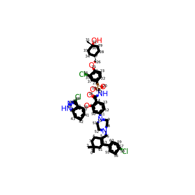 CC1(C)CCC(CN2CCN(c3ccc(C(=O)NS(=O)(=O)c4ccc(OC[C@H]5CC[C@@](C)(O)CC5)c(Cl)c4)c(Oc4cccc5[nH]nc(Cl)c45)c3)CC2)=C(c2ccc(Cl)cc2)C1